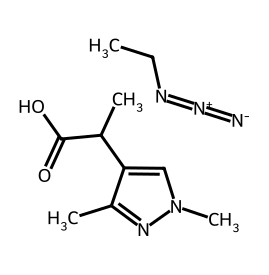 CCN=[N+]=[N-].Cc1nn(C)cc1C(C)C(=O)O